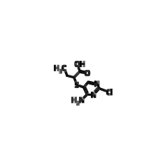 CCC(Sc1cnc(Cl)nc1N)C(=O)O